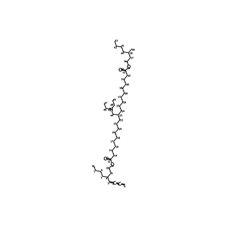 C=C=C=CC(CCCC)CCOC(=O)CCCCCCCCCC(CCCCCCCCCC(=O)OCCC(C)CCCC)CN(CC)CC